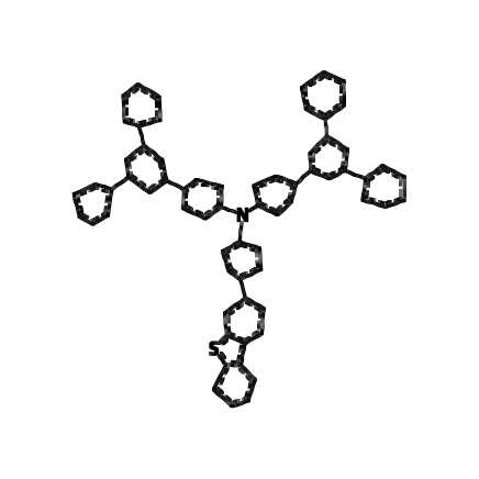 c1ccc(-c2cc(-c3ccccc3)cc(-c3ccc(N(c4ccc(-c5cc(-c6ccccc6)cc(-c6ccccc6)c5)cc4)c4ccc(-c5ccc6c(c5)sc5ccccc56)cc4)cc3)c2)cc1